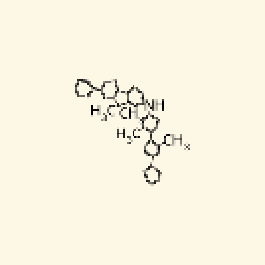 Cc1cc(Nc2ccc3c(c2)C(C)(C)c2cc(-c4ccccc4)ccc2-3)ccc1-c1ccc(-c2ccccc2)cc1C